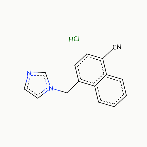 Cl.N#Cc1ccc(Cn2ccnc2)c2ccccc12